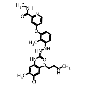 CNCCOc1cc(Cl)c(C)cc1NC(=O)NNc1cccc(Oc2ccnc(C(=O)NC)c2)c1C